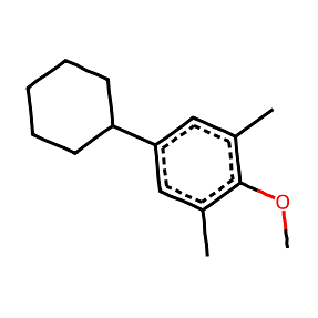 COc1c(C)cc(C2CCCCC2)cc1C